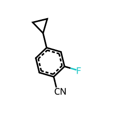 N#Cc1ccc(C2CC2)cc1F